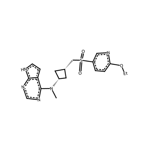 CCOc1ccc(S(=O)(=O)C[C@H]2C[C@@H](N(C)c3ncnc4[nH]ccc34)C2)cn1